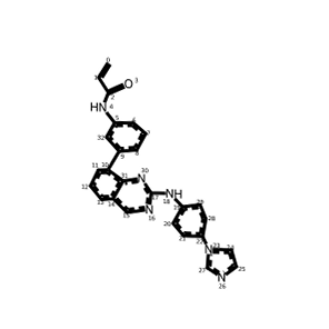 C=CC(=O)Nc1cccc(-c2cccc3cnc(Nc4ccc(-n5ccnc5)cc4)nc23)c1